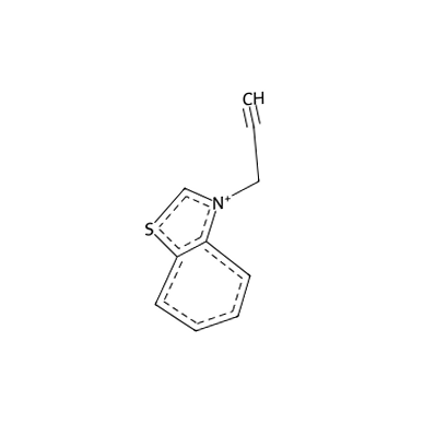 C#CC[n+]1csc2ccccc21